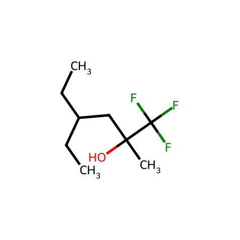 CCC(CC)CC(C)(O)C(F)(F)F